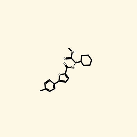 CNC(=O)[C@@H](NC(=O)c1ccc(-c2ccc(I)cc2)o1)C1CCCCC1